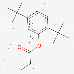 CCC(=O)Oc1cc(C(C)(C)C)ccc1C(C)(C)C